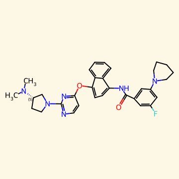 CN(C)[C@H]1CCN(c2nccc(Oc3ccc(NC(=O)c4cc(F)cc(N5CCCCC5)c4)c4ccccc34)n2)C1